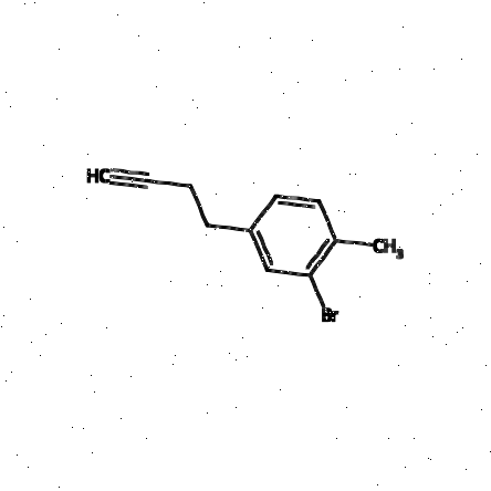 C#CCCc1ccc(C)c(Br)c1